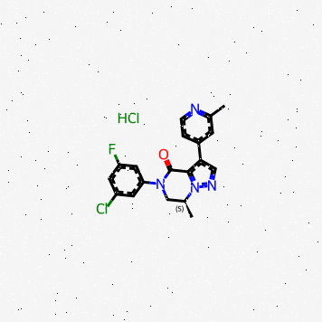 Cc1cc(-c2cnn3c2C(=O)N(c2cc(F)cc(Cl)c2)C[C@@H]3C)ccn1.Cl